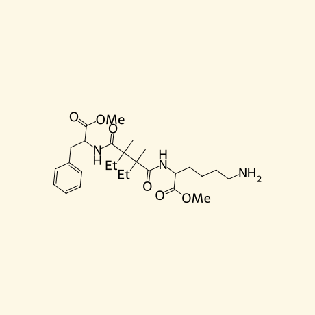 CCC(C)(C(=O)NC(CCCCN)C(=O)OC)C(C)(CC)C(=O)NC(Cc1ccccc1)C(=O)OC